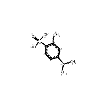 Cc1cc(N(C)C)ccc1P(=O)(O)O